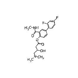 CNC(=O)c1cc(-c2ccc(F)cc2F)ccc1OC(=O)CC(O)CN(C)C